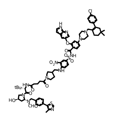 Cc1ncsc1-c1ccc(CN(C=O)[C@@H]2C[C@@H](O)CN2C(=O)[C@@H](NC(=O)CCCC(=O)N2CCC(CNc3ccc(S(=O)(=O)NC(=O)c4ccc(N5CCN(CC6=C(c7ccc(Cl)cc7)CC(C)(C)CC6)CC5)cc4Oc4cnc5[nH]ccc5c4)cc3[N+](=O)[O-])CC2)C(C)(C)C)cc1